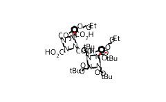 CCOCCOc1ccc(C[C@H]2CN(CC(=O)O)CCN(CC(=O)O)CCN(CC(=O)O)CCN2CC(=O)O)cc1.CCOCCOc1ccc(C[C@H]2CN(CC(=O)OC(C)(C)C)CCN(CC(=O)OC(C)(C)C)CCN(CC(=O)OC(C)(C)C)CCN2CC(=O)OC(C)(C)C)cc1